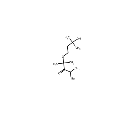 CCC(C)C(C)C(=O)C(C)(C)OCCC(C)(C)O